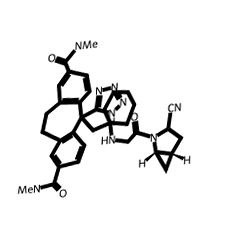 CNC(=O)c1ccc2c(c1)CCc1cc(C(=O)NC)ccc1C2(CC1(NCC(=O)N2C(C#N)C[C@@H]3C[C@@H]32)CCCCC1)c1nnn[nH]1